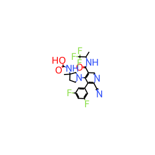 CC(NC(=O)c1cnc(C#N)c(-c2cc(F)cc(F)c2)c1N1CCC(C)(NC(=O)O)C1)C(F)(F)F